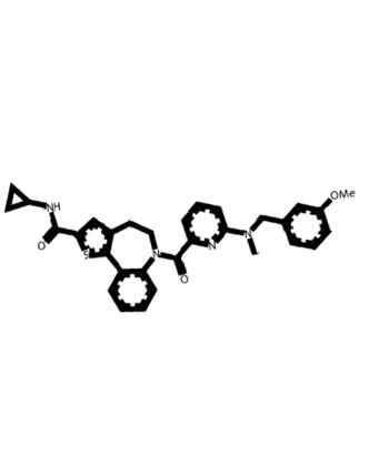 COc1cccc(CN(C)c2cccc(C(=O)N3CCc4cc(C(=O)NC5CC5)sc4-c4ccccc43)n2)c1